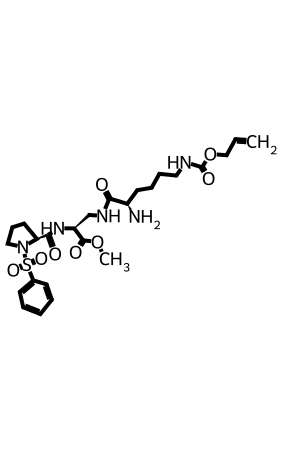 C=CCOC(=O)NCCCC[C@H](N)C(=O)NC[C@H](NC(=O)[C@@H]1CCCN1S(=O)(=O)c1ccccc1)C(=O)OC